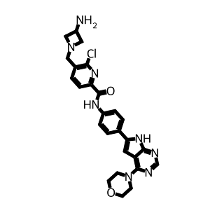 NC1CN(Cc2ccc(C(=O)Nc3ccc(-c4cc5c(N6CCOCC6)ncnc5[nH]4)cc3)nc2Cl)C1